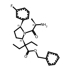 CCC(CC)(C(=O)OCc1ccccc1)[C@H]1CC[C@@H](c2cccc(F)c2)N1C(=O)[C@@H](C)N